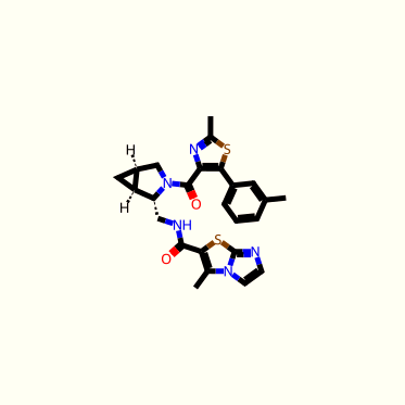 Cc1cccc(-c2sc(C)nc2C(=O)N2C[C@@H]3C[C@@H]3[C@H]2CNC(=O)c2sc3nccn3c2C)c1